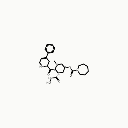 CN1C[C@@H](OC(=O)N2CCCCCC2)C[C@H](C(=O)NO)[C@H]1C(=O)C1CC(c2ccccc2)=CCN1